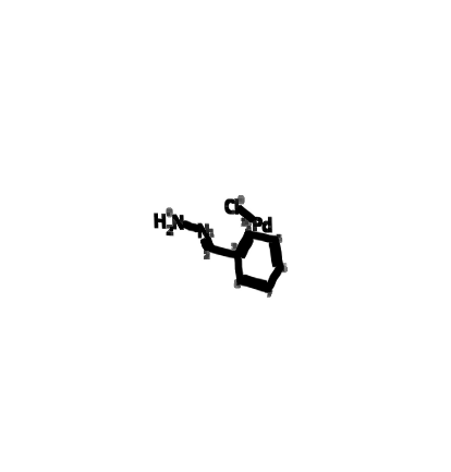 NN=Cc1ccccc1.[Cl][Pd]